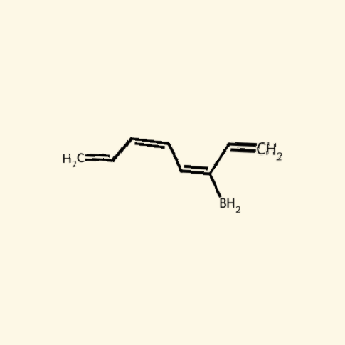 B/C(C=C)=C/C=C\C=C